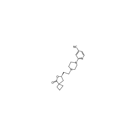 N#Cc1ccnc(N2CCN(CC[C@H]3CC4(CCC4)C(=O)O3)CC2)c1